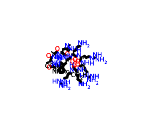 CC(=O)NCC(=O)N[C@@H](CC(=O)O)C(=O)N[C@@H](C)C(=O)N[C@@H](Cc1c[nH]cn1)C(=O)N[C@@H](Cc1c[nH]c2ccccc12)C(=O)N[C@@H](CCCCN)C(=O)N[C@@H](CCCNC(=N)N)C(=O)N[C@@H](CCCNC(=N)N)C(=O)N[C@@H](CCCCN)C(=O)N[C@@H](CCCNC(=N)N)C(=O)O